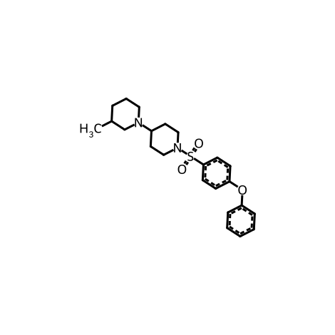 CC1CCCN(C2CCN(S(=O)(=O)c3ccc(Oc4ccccc4)cc3)CC2)C1